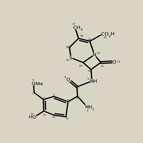 COCc1cc(C(N)C(=O)NC2C(=O)N3C(C(=O)O)=C(C)CSC23)ccc1O